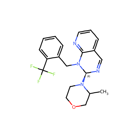 CC1COCCN1[C@@H]1N=Cc2cccnc2N1Cc1ccccc1C(F)(F)F